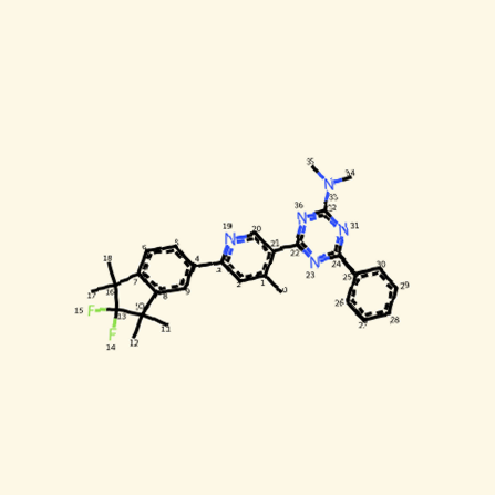 Cc1cc(-c2ccc3c(c2)C(C)(C)C(F)(F)C3(C)C)ncc1-c1nc(-c2ccccc2)nc(N(C)C)n1